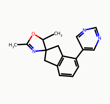 CC1=NC2(Cc3cccc(-c4cncnc4)c3C2)C(C)O1